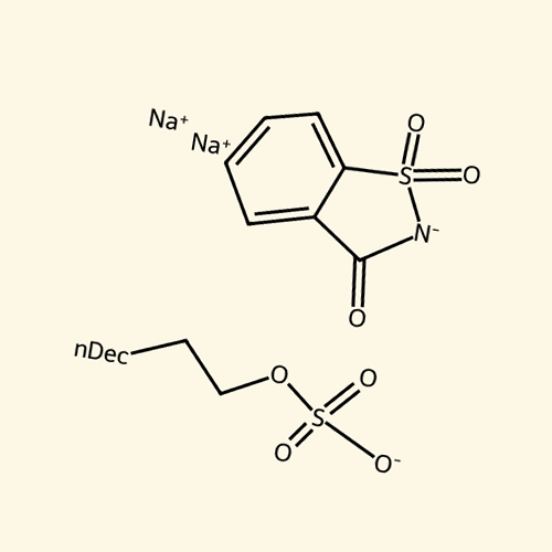 CCCCCCCCCCCCOS(=O)(=O)[O-].O=C1[N-]S(=O)(=O)c2ccccc21.[Na+].[Na+]